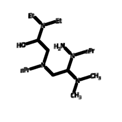 CCCN(CC(N(C)C)N(N)CCC)CC(O)N(CC)CC